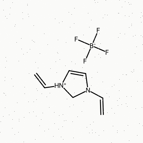 C=CN1C=C[NH+](C=C)C1.F[B-](F)(F)F